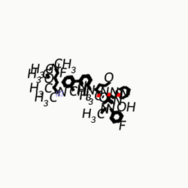 COCCN1CC2CC(C1)N2c1nc(N2CC(Nc3cccc(-c4cc(F)cc(/N=C(/C)C(C)CC(CN(C)C)OC)c4C)n3)CC2C=O)c2c(n1)N(c1ccc(F)cc1O)N(C)C2